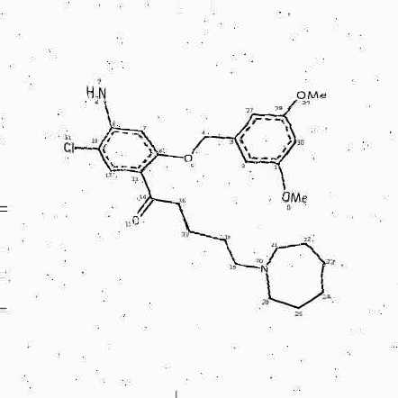 COc1cc(COc2cc(N)c(Cl)cc2C(=O)CCCCN2CCCCCC2)cc(OC)c1